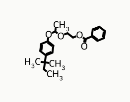 CCC(C)(C)c1ccc(OC(C)OCCOC(=O)c2ccccc2)cc1